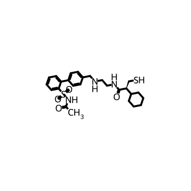 CC(=O)NS(=O)(=O)c1ccccc1-c1ccc(CNCCNC(=O)[C@@H](CS)C2CCCCC2)cc1